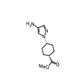 COC(=O)[C@H]1CC[C@H](n2cc(N)cn2)CC1